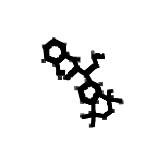 CCCCCCCCC=C(C(=O)Nc1ccccc1O)c1ccc2c(c1)C(C)(C)CCC2(C)C